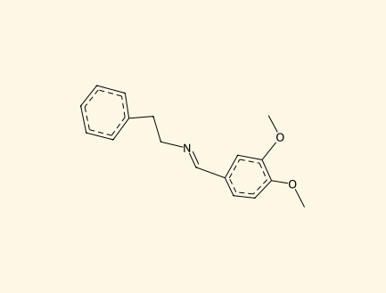 COc1ccc(/C=N/CCc2ccccc2)cc1OC